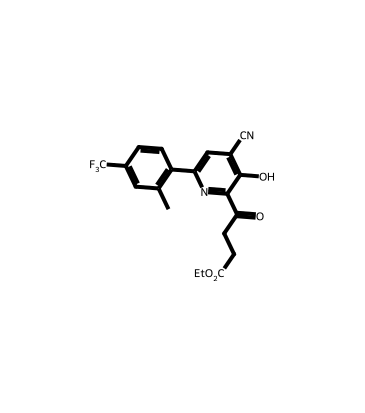 CCOC(=O)CCC(=O)c1nc(-c2ccc(C(F)(F)F)cc2C)cc(C#N)c1O